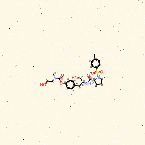 Cc1ccc(S(=O)(=O)N2CCC[C@H]2C(=O)N[C@H](CO)Cc2ccc(OC(=O)N(C)CCO)cc2)cc1